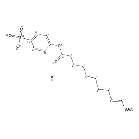 CCCCCCCCC=CCCCCCCCC(=O)Oc1ccc(S(=O)(=O)[O-])cc1.[K+]